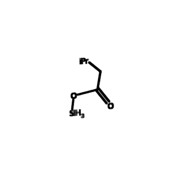 CC(C)CC(=O)O[SiH3]